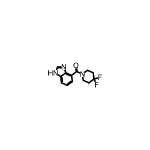 O=C(c1cccc2[nH]cnc12)N1C[CH]C(F)(F)CC1